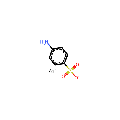 Nc1ccc(S(=O)(=O)[O-])cc1.[Ag+]